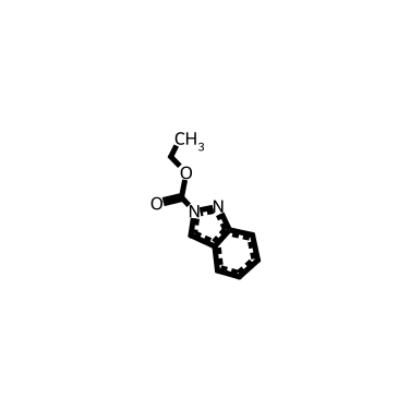 CCOC(=O)n1cc2ccccc2n1